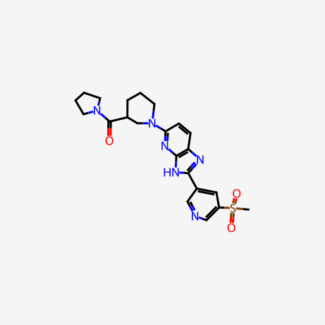 CS(=O)(=O)c1cncc(-c2nc3ccc(N4CCCC(C(=O)N5CCCC5)C4)nc3[nH]2)c1